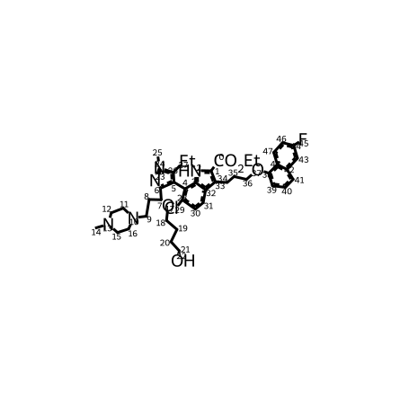 CCOC(=O)c1[nH]c2c(-c3c(C(CCN4CCN(C)CC4)OCCCCO)nn(C)c3CC)c(Cl)ccc2c1CCCOc1cccc2cc(F)ccc12